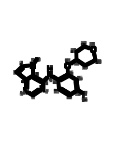 Cn1ccc2ncnc(Nc3ccc(F)cc3OC3CCOCC3)c21